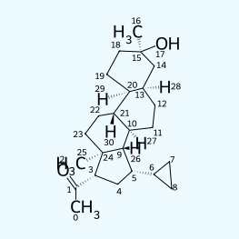 CC(=O)[C@H]1C[C@@H](C2CC2)[C@H]2[C@@H]3CC[C@@H]4C[C@](C)(O)CC[C@@H]4[C@H]3CC[C@@]21C